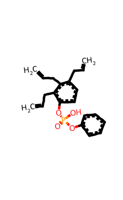 C=CCc1ccc(OP(=O)(O)Oc2ccccc2)c(CC=C)c1CC=C